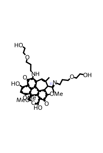 COc1c2c3c4c(c(NCCCOCCO)c(=O)c5c(O)cc(OC)c(c6c(OC)cc(O)c(c1=O)c63)c54)C=C(C)C2/C(C)=N/CCCOCCO